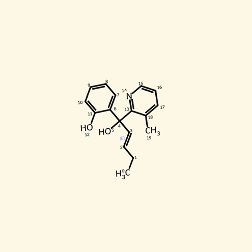 CC/C=C/C(O)(c1ccccc1O)c1ncccc1C